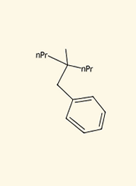 CCCC(C)(CCC)Cc1ccccc1